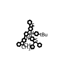 CC(C)(C)c1ccc(N2B3c4cc5sc(-c6ccccc6)c(-c6ccccc6)c5cc4-n4c5cc6c(cc5c5ccc(c3c54)-c3cc4c(cc32)sc2ccccc24)-c2ccccc2C6(C)C)cc1